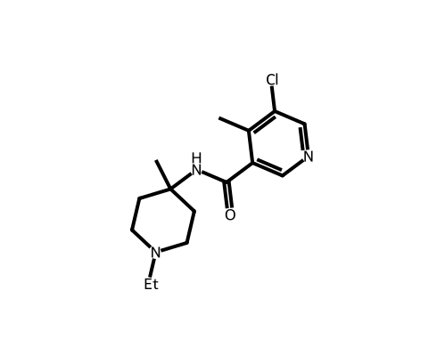 CCN1CCC(C)(NC(=O)c2cncc(Cl)c2C)CC1